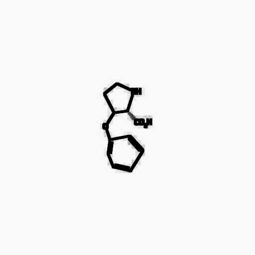 O=C(O)[C@H]1NCCC1Oc1ccccc1